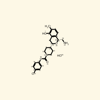 Cc1ccc2c(c1O)C[C@@H](C1CCN(C(=O)Oc3ccc(Cl)cc3)CC1)O[C@H]2CN.Cl